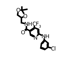 CC1(C)OCC(CNC(=O)c2cnc(Nc3cccc(Cl)c3)cc2C(F)(F)F)O1